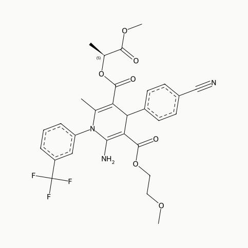 COCCOC(=O)C1=C(N)N(c2cccc(C(F)(F)F)c2)C(C)=C(C(=O)O[C@@H](C)C(=O)OC)C1c1ccc(C#N)cc1